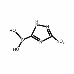 O=[N+]([O-])c1n[nH]c(B(O)O)n1